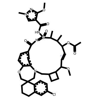 COc1nn(C)cc1C(=O)NS1(=O)=NC(=O)c2ccc3c(c2)N(CC2CCC2C(OC)/C=C/C(OC(C)=O)C(C)C1C)CC1(CCCc2cc(Cl)ccc21)CO3